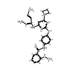 C/C=C/C(=N\N)Nc1cc(N2CCC2)nc(Sc2ccc(NC(=O)c3ccccc3OC)cc2)n1